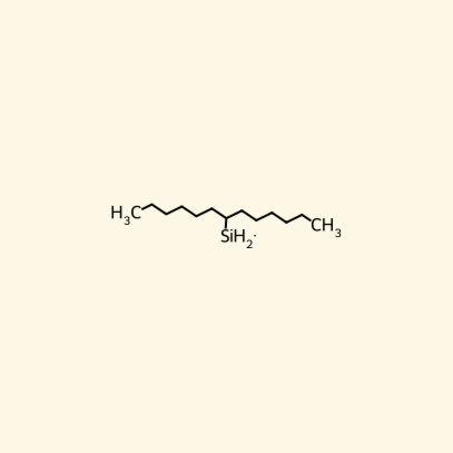 CCCCCCC([SiH2])CCCCCC